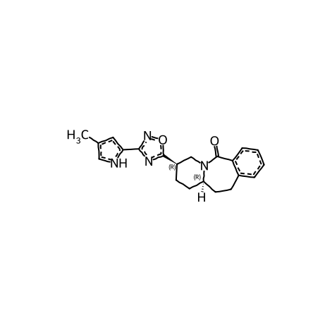 Cc1c[nH]c(-c2noc([C@@H]3CC[C@@H]4CCc5ccccc5C(=O)N4C3)n2)c1